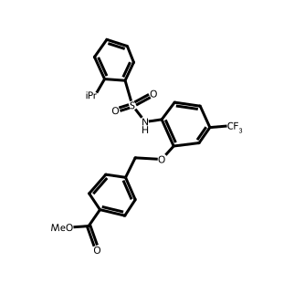 COC(=O)c1ccc(COc2cc(C(F)(F)F)ccc2NS(=O)(=O)c2ccccc2C(C)C)cc1